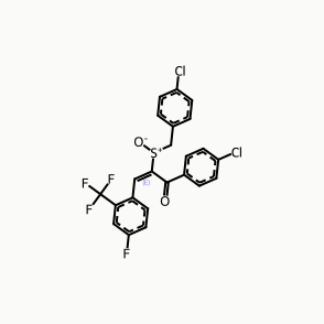 O=C(/C(=C\c1ccc(F)cc1C(F)(F)F)[S+]([O-])Cc1ccc(Cl)cc1)c1ccc(Cl)cc1